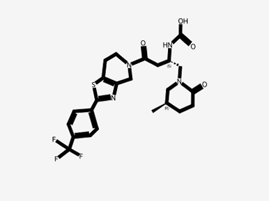 C[C@@H]1CCC(=O)N(C[C@H](CC(=O)N2CCc3sc(-c4ccc(C(F)(F)F)cc4)nc3C2)NC(=O)O)C1